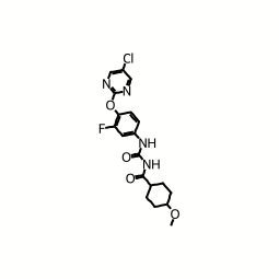 COC1CCC(C(=O)NC(=O)Nc2ccc(Oc3ncc(Cl)cn3)c(F)c2)CC1